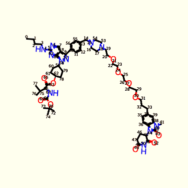 CCCCNc1ncc2c(-c3ccc(CN4CCN(CCOCCOCCOCCOCCCc5ccc6c(c5)n(C)c(=O)n6C5CCC(=O)NC5=O)CC4)cc3)nn([C@H]3CC[C@H](OC(=O)[C@@H](NC(=O)OC(C)(C)C)C(C)C)CC3)c2n1